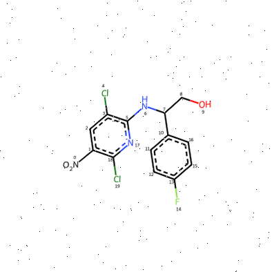 O=[N+]([O-])c1cc(Cl)c(NC(CO)c2ccc(F)cc2)nc1Cl